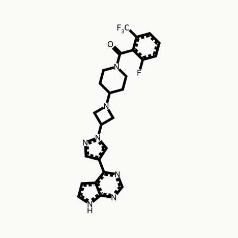 O=C(c1c(F)cccc1C(F)(F)F)N1CCC(N2CC(n3cc(-c4ncnc5[nH]ccc45)cn3)C2)CC1